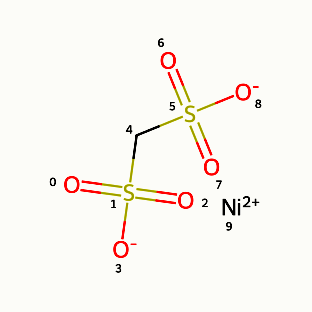 O=S(=O)([O-])CS(=O)(=O)[O-].[Ni+2]